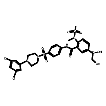 CN(c1ccc([C@@H](O)CO)cc1C(=O)Nc1ccc(S(=O)(=O)N2CCN(c3cc(Cl)cc(Cl)c3)CC2)cc1)S(C)(=O)=O